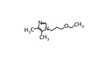 CCOCCCn1cnc(C)c1C